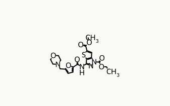 CCOC(=O)n1nc(NC(=O)c2ccc(CN3CCOCC3)o2)c2sc(C(=O)OC)cc21